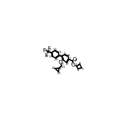 O=C(OC1CCC1)c1ccc(-c2ccc(C(F)(F)F)cc2)c(OCC2CC2)c1